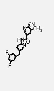 Cc1cc(C(=O)Nc2ccc(Cc3cc(F)cc(F)c3)cn2)cnc1C#N